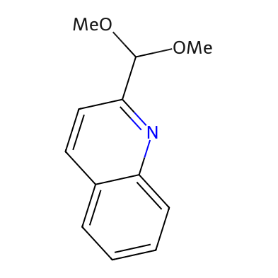 COC(OC)c1ccc2ccccc2n1